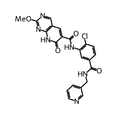 COc1ncc2cc(C(=O)Nc3cc(C(=O)NCc4cccnc4)ccc3Cl)c(=O)[nH]c2n1